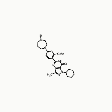 CCN1CCCN(c2ccc(-c3nc4c(C)nn(C5CCCCC5)c4c(=O)[nH]3)c(OC)c2)CC1